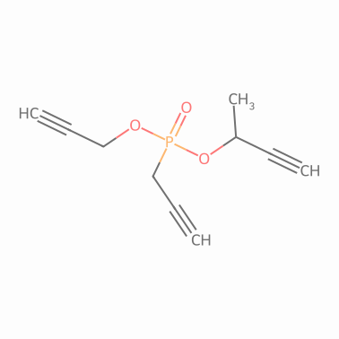 C#CCOP(=O)(CC#C)OC(C)C#C